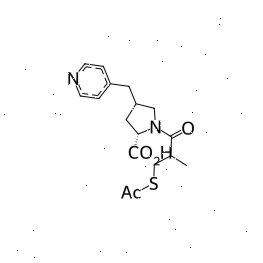 CC(=O)SCC(C)C(=O)N1CC(Cc2ccncc2)C[C@H]1C(=O)O